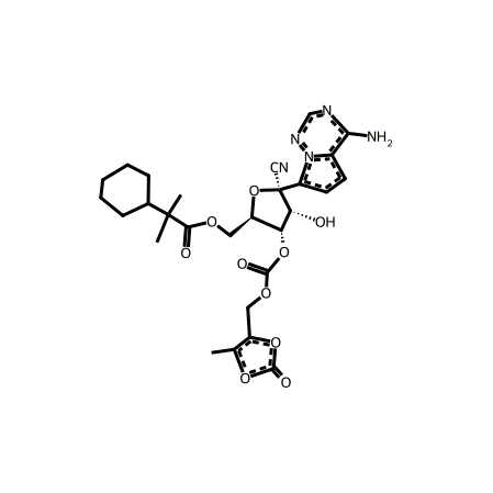 Cc1oc(=O)oc1COC(=O)O[C@H]1[C@@H](O)[C@](C#N)(c2ccc3c(N)ncnn23)O[C@@H]1COC(=O)C(C)(C)C1CCCCC1